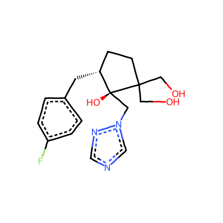 OCC1(CO)CC[C@@H](Cc2ccc(F)cc2)[C@@]1(O)Cn1cncn1